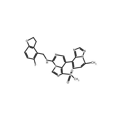 Cc1ccc(-c2cnc(NCc3c(F)ccc4c3CCO4)n3cnc(S(C)(=O)=O)c23)c2ncnn12